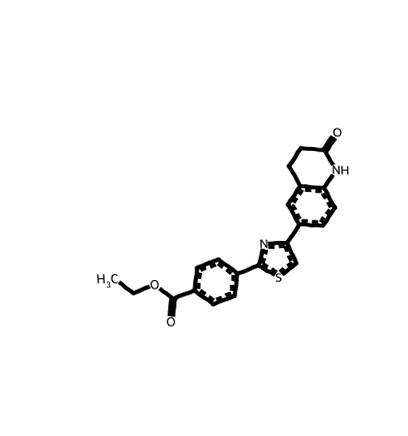 CCOC(=O)c1ccc(-c2nc(-c3ccc4c(c3)CCC(=O)N4)cs2)cc1